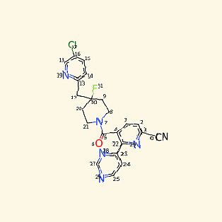 N#Cc1ccc(C(=O)N2CCC(F)(Cc3ccc(Cl)cn3)CC2)c(-c2ccncn2)n1